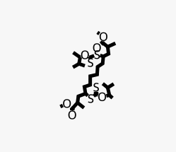 COC(=O)C(C)CC(CCCCCCC(CC(C)C(=O)OC)SC(=S)OC(C)C(C)C)SC(=S)OC(C)C(C)C